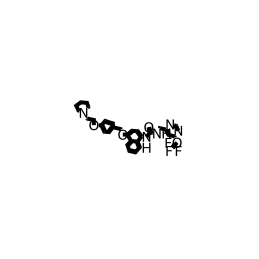 O=C(NCc1cc(OC(F)(F)F)ncn1)Nc1ccc(OCc2ccc(OCCN3CCCCC3)cc2)c2ccccc12